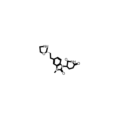 Cn1c(=O)n(C2CCC(=O)NC2=O)c2ccc(CC[C@H]3CNCCO3)cc21